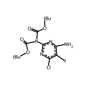 CC(C)(C)OC(=O)N(C(=O)OC(C)(C)C)c1nc(N)c(I)c(Cl)n1